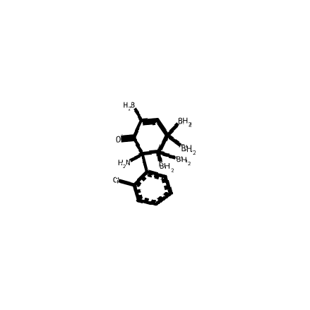 BC1=CC(B)(B)C(B)(B)C(N)(c2ccccc2Cl)C1=O